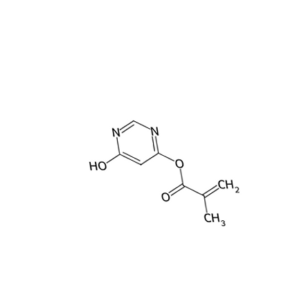 C=C(C)C(=O)Oc1cc(O)ncn1